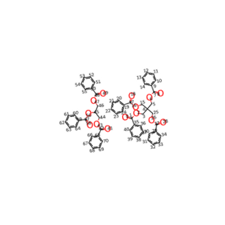 O=C(OCC(COC(=O)c1ccccc1)(COC(=O)c1ccccc1)COC(=O)c1ccccc1)c1ccccc1.O=C(OCC(COC(=O)c1ccccc1)OC(=O)c1ccccc1)c1ccccc1